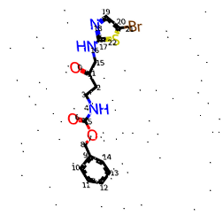 O=C(CCNC(=O)OCc1ccccc1)CNc1ncc(Br)s1